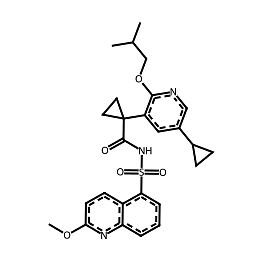 COc1ccc2c(S(=O)(=O)NC(=O)C3(c4cc(C5CC5)cnc4OCC(C)C)CC3)cccc2n1